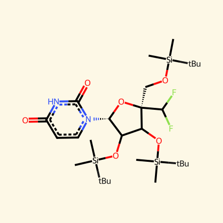 CC(C)(C)[Si](C)(C)OC[C@@]1(C(F)F)O[C@@H](n2ccc(=O)[nH]c2=O)C(O[Si](C)(C)C(C)(C)C)C1O[Si](C)(C)C(C)(C)C